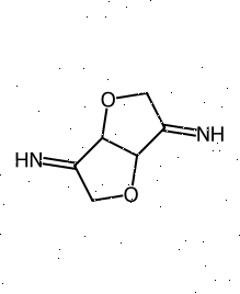 N=C1COC2C(=N)COC12